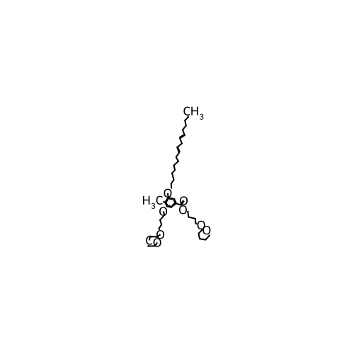 CCCCCC=CCC=CCCCCCCCCOc1cc(C(=O)OCCCCOC2CCCCO2)cc(OCCCCOC2CCCCO2)c1C